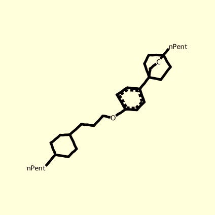 CCCCCC1CCC(CCCOc2ccc(C34CCC(CCCCC)(CC3)CC4)cc2)CC1